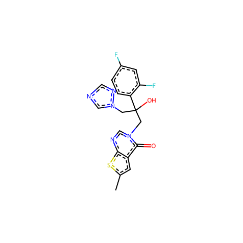 Cc1cc2c(=O)n(CC(O)(Cn3cncn3)c3ccc(F)cc3F)cnc2s1